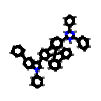 c1ccc(-c2ccc3c(c2)c(-c2ccc4c(c2)C2(c5ccccc5-c5ccccc52)c2cc(-c5nc(-c6ccccc6)nc(-c6ccccc6)n5)ccc2-4)cn3-c2ccccc2)cc1